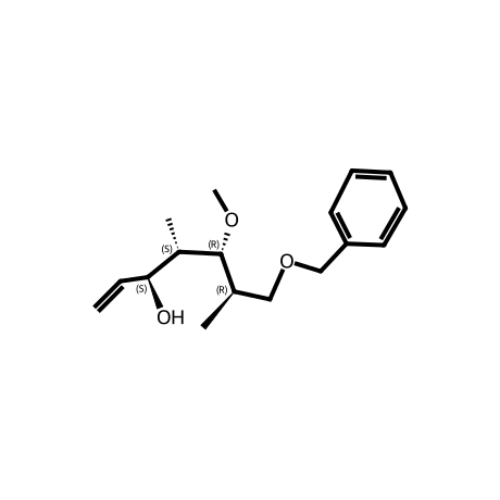 C=C[C@H](O)[C@H](C)[C@H](OC)[C@H](C)COCc1ccccc1